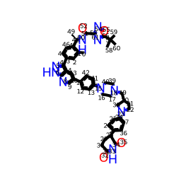 Cc1cc(-c2n[nH]c3ncc(-c4ccc(N5CCN(CC6CCN(c7ccc(C8CCC(=O)NC8=O)cc7)C6)CC5)cc4)cc23)ccc1[C@@H](C)NC(=O)c1noc(C(C)(C)C)n1